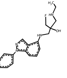 CCNCC(O)(CF)CNc1cccc2c1cnn2-c1ccc(F)cc1